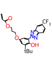 C=CC(=O)OCCCOc1cc(-n2nc3ccc(C(F)(F)F)cc3n2)c(O)c(C(C)(C)C)c1